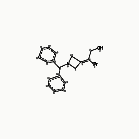 CC(C)C(CO)=C1CN(C(c2ccccc2)c2ccccc2)C1